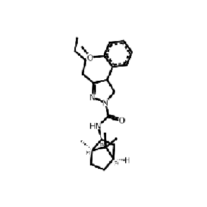 CCCCC1=NN(C(=O)N[C@H]2C[C@H]3CC[C@]2(C)C3(C)C)CC1c1ccccc1OC